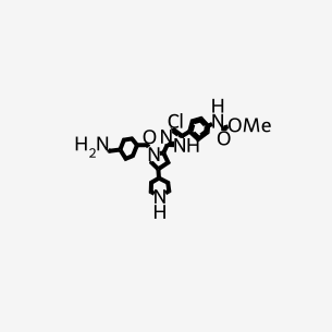 COC(=O)Nc1ccc(-c2[nH]c(C3CC(C4CCNCC4)CN3C(=O)C3CCC(CN)CC3)nc2Cl)cc1